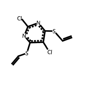 C=CSc1nc(Cl)nc(SC=C)c1Cl